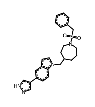 O=S(=O)(Cc1ccccc1)N1CCCC(Cn2ccc3cc(-c4cn[nH]c4)ccc32)CC1